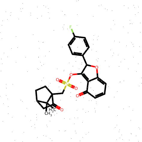 CC1(C)C2CCC1(CS(=O)(=O)OC1=C3C(=O)C=CC=C3OC1c1ccc(F)cc1)C(=O)C2